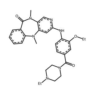 CCOc1cc(C(=O)N2CCN(CC)CC2)ccc1Nc1cc2c(cn1)N(C)C(=O)c1ccccc1N2C